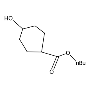 CCCCOC(=O)C1CCC(O)CC1